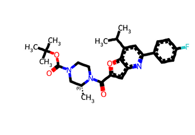 CC(C)c1cc(-c2ccc(F)cc2)nc2cc(C(=O)N3CCN(C(=O)OC(C)(C)C)C[C@H]3C)oc12